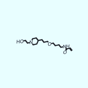 C=CC(=O)NCCCCOCCCC1CCN(CCO)CC1